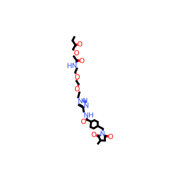 CCC(=O)COCC(=O)NCCOCCOCCn1cc(CNC(=O)C2CCC(CN3C(=O)CC(C)C3=O)CC2)nn1